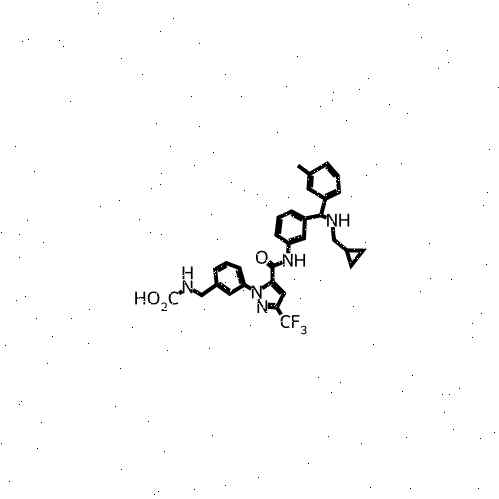 Cc1cccc(C(NCC2CC2)c2cccc(NC(=O)c3cc(C(F)(F)F)nn3-c3cccc(CNC(=O)O)c3)c2)c1